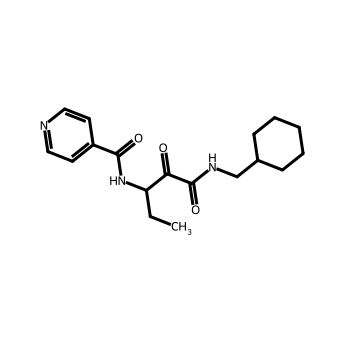 CCC(NC(=O)c1ccncc1)C(=O)C(=O)NCC1CCCCC1